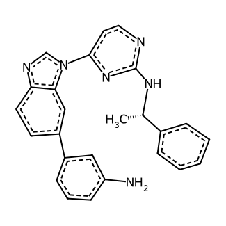 C[C@H](Nc1nccc(-n2cnc3ccc(-c4cccc(N)c4)cc32)n1)c1ccccc1